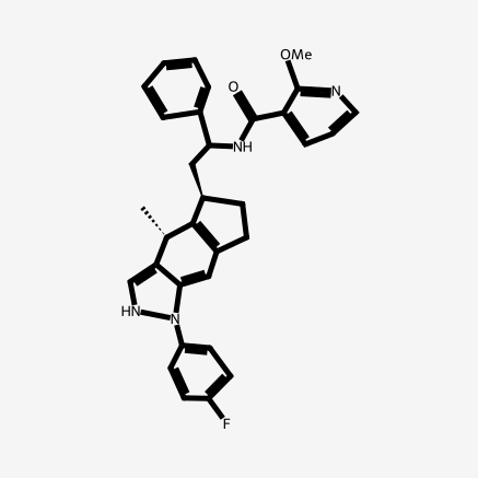 COc1ncccc1C(=O)NC(C[C@H]1CCC2=C1[C@@H](C)C1=CNN(c3ccc(F)cc3)C1=C2)c1ccccc1